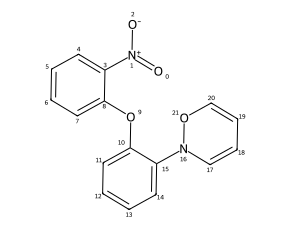 O=[N+]([O-])c1ccccc1Oc1ccccc1N1C=CC=CO1